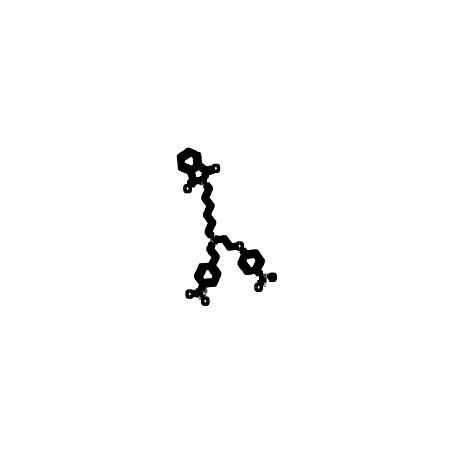 O=C1c2ccccc2C(=O)N1CCCCCCN(CCOc1ccc([N+](=O)[O-])cc1)CCc1ccc([N+](=O)[O-])cc1